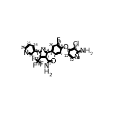 NC(=O)c1c(-c2ccc(Oc3ccnc(N)c3Cl)c(F)c2)nn(-c2cccnc2)c1C(F)(F)F